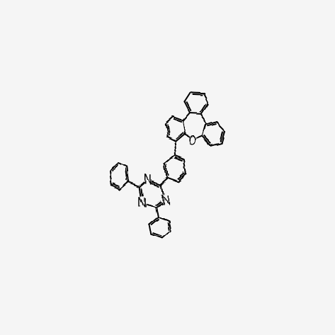 c1ccc(-c2nc(-c3ccccc3)nc(-c3cccc(-c4cccc5c4Oc4ccccc4-c4ccccc4-5)c3)n2)cc1